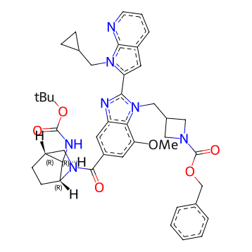 COc1cc(C(=O)N2C[C@H]3CC[C@@H]2[C@@H]3NC(=O)OC(C)(C)C)cc2nc(-c3cc4cccnc4n3CC3CC3)n(CC3CN(C(=O)OCc4ccccc4)C3)c12